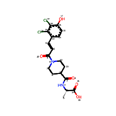 C[C@H](NC(=O)C1CCN(C(=O)/C=C/c2ccc(O)c(Cl)c2Cl)CC1)C(=O)O